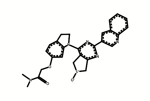 CN(C)C(=O)COc1ccc2c(c1)N(c1nc(-c3cnc4ccccc4c3)nc3c1C[S+]([O-])C3)CC2